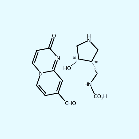 O=C(O)NC[C@H]1CNC[C@H]1O.O=Cc1ccn2ccc(=O)nc2c1